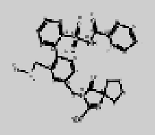 CCCCC1=NC2(CCCC2)C(=O)N1Cc1ccc(-c2ccccc2S(=O)(=O)NC(=O)c2ccccn2)c(COCC)c1